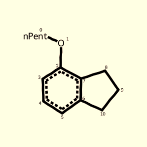 CCCCCOc1cccc2c1CCC2